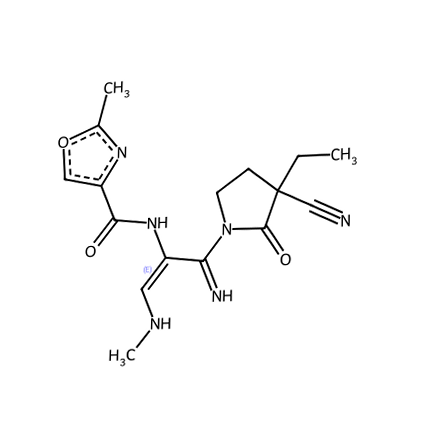 CCC1(C#N)CCN(C(=N)/C(=C\NC)NC(=O)c2coc(C)n2)C1=O